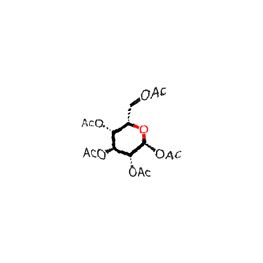 CC(=O)OC[C@@H]1O[C@@H](OC(C)=O)[C@H](OC(C)=O)[C@@H](OC(C)=O)[C@@H]1OC(C)=O